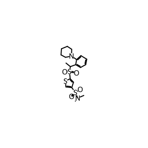 CC(c1ccccc1N1CCCCC1)S(=O)(=O)c1cc(S(=O)(=O)N(C)C)cs1